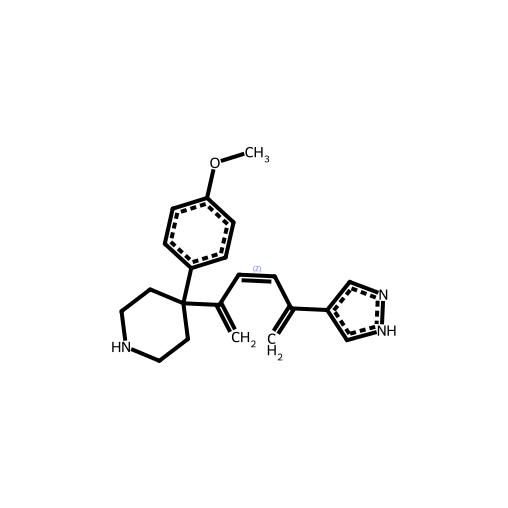 C=C(/C=C\C(=C)C1(c2ccc(OC)cc2)CCNCC1)c1cn[nH]c1